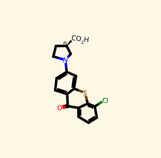 O=C(O)[C@@H]1CCN(c2ccc3c(=O)c4cccc(Cl)c4sc3c2)C1